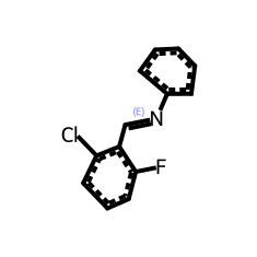 Fc1cccc(Cl)c1/C=N/c1ccccc1